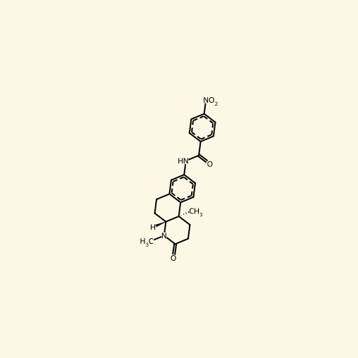 CN1C(=O)CC[C@]2(C)c3ccc(NC(=O)c4ccc([N+](=O)[O-])cc4)cc3CC[C@@H]12